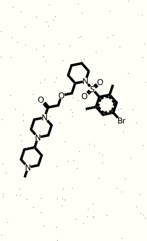 Cc1cc(Br)cc(C)c1S(=O)(=O)N1CCCCC1COCC(=O)N1CCN(C2CCN(C)CC2)CC1